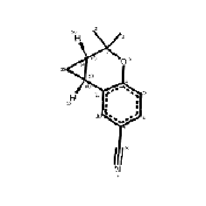 CC1(C)Oc2ccc(C#N)cc2[C@@H]2C[C@@H]21